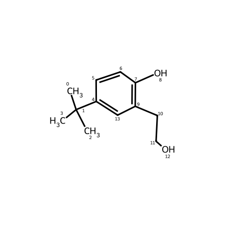 CC(C)(C)c1ccc(O)c(CCO)c1